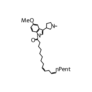 CCCCC/C=C\C/C=C\CCCCCCCC(=O)n1cc(C2CCN(C)C2)c2cc(OC)ccc21